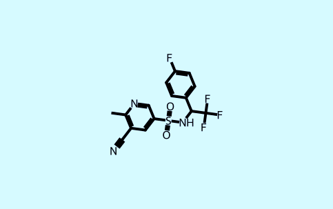 Cc1ncc(S(=O)(=O)NC(c2ccc(F)cc2)C(F)(F)F)cc1C#N